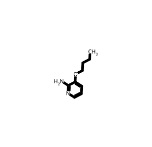 CCCCOc1cccnc1N